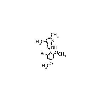 COc1cc(Br)c(-c2cc3c(C)cc(C)nc3[nH]2)c(OC)c1